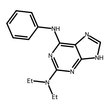 CCN(CC)c1nc(Nc2ccccc2)c2nc[nH]c2n1